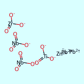 [O]=[Nb](=[O])[O-].[O]=[Nb](=[O])[O-].[O]=[Ti]([O-])[O-].[O]=[Zr]([O-])[O-].[Pb+2].[Pb+2].[Zn+2]